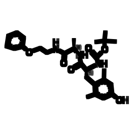 Cc1cc(O)cc(C)c1C[C@H](NC(=O)OC(C)(C)C)C(=O)N[C@H](C)C(=O)NCCOc1ccccc1